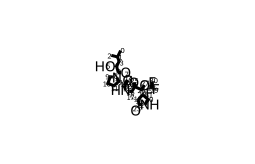 CC(C)C[C@@H](O)C(=O)N1CCC[C@H]1C(=O)N[C@@H](C[C@@H]1CCNC1=O)C(=O)COC(F)(F)F